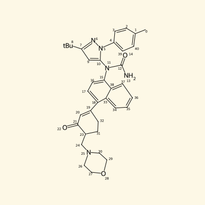 Cc1ccc(-n2nc(C(C)(C)C)cc2N(C(N)=O)c2ccc(C3=CC(=O)C(CN4CCOCC4)CC3)c3ccccc23)cc1